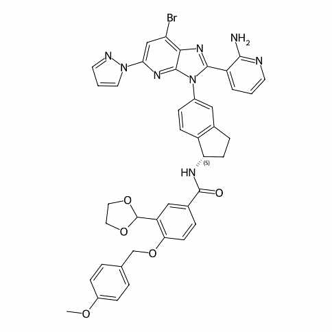 COc1ccc(COc2ccc(C(=O)N[C@H]3CCc4cc(-n5c(-c6cccnc6N)nc6c(Br)cc(-n7cccn7)nc65)ccc43)cc2C2OCCO2)cc1